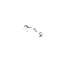 CN1C(CNCCO[Si](C)(C)C(C)(C)C)=CCN1Br